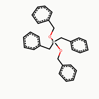 c1ccc(C[O][Zr]([CH2]c2ccccc2)([CH2]c2ccccc2)[O]Cc2ccccc2)cc1